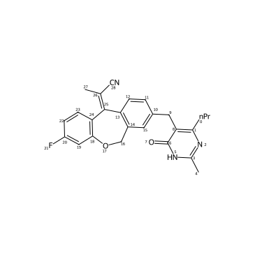 CCCc1nc(C)[nH]c(=O)c1Cc1ccc2c(c1)COc1cc(F)ccc1C2=C(C)C#N